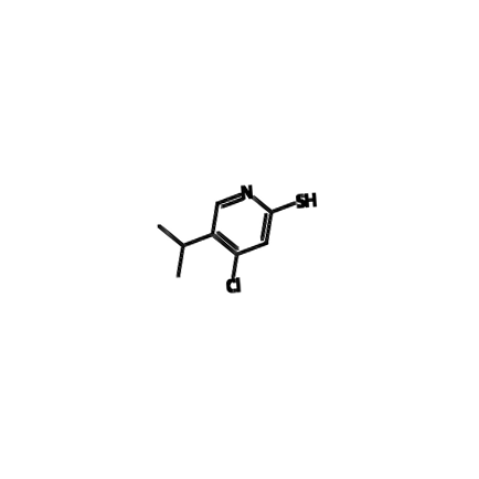 CC(C)c1cnc(S)cc1Cl